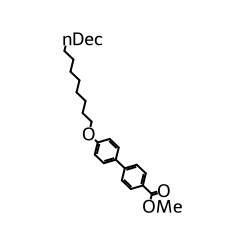 CCCCCCCCCCCCCCCCCCOc1ccc(-c2ccc(C(=O)OC)cc2)cc1